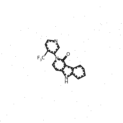 O=c1c2c(ccn1-c1cnccc1C(F)(F)F)[nH]c1ccccc12